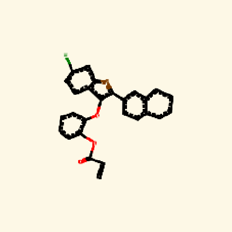 C=CC(=O)Oc1ccccc1Oc1c(-c2ccc3ccccc3c2)sc2cc(F)ccc12